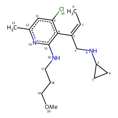 C/C=C(/CNC1CC1)c1c(Cl)cc(C)nc1NCCCOC